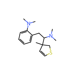 CN(C)c1ccccc1CC(N(C)C)C1(C)C=CSC1